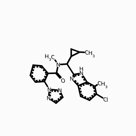 Cc1c(Cl)ccc2nc(C(C3CC3C)N(C)C(=O)c3ccccc3-n3nccn3)[nH]c12